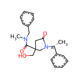 C[C@H](c1ccccc1)N1CC(CO)(C(=O)N(C)Cc2ccccc2)CC1=O